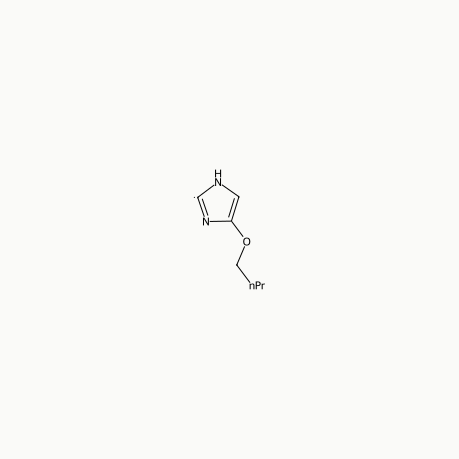 CCCCOc1c[nH][c]n1